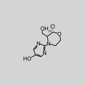 OCC1[C@H](Cl)OCCN1c1ncc(O)cn1